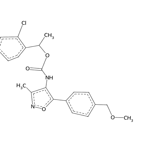 COCc1ccc(-c2onc(C)c2NC(=O)OC(C)c2ccccc2Cl)cc1